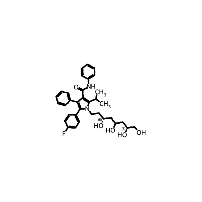 CC(C)c1c(C(=O)Nc2ccccc2)c(-c2ccccc2)c(-c2ccc(F)cc2)n1CC[C@@H](O)CC(O)C[C@H](O)CO